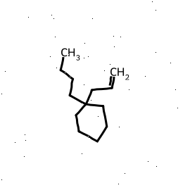 C=CCC1(CCCC)CCCCC1